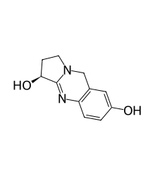 Oc1ccc2c(c1)CN1CC[C@H](O)C1=N2